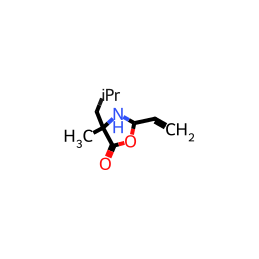 C=CC1NC(C)(CC(C)C)C(=O)O1